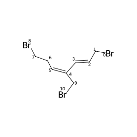 BrC/C=C/C(=C\CCBr)CBr